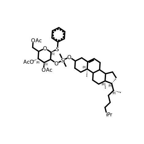 CC(=O)OCC1O[C@@H](Sc2ccccc2)C(O[Si](C)(C)OC2CC[C@@]3(C)C(=CCC4C3CC[C@@]3(C)C4CC[C@@H]3[C@H](C)CCCC(C)C)C2)[C@@H](OC(C)=O)[C@@H]1OC(C)=O